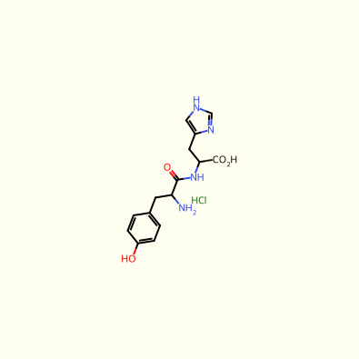 Cl.NC(Cc1ccc(O)cc1)C(=O)NC(Cc1c[nH]cn1)C(=O)O